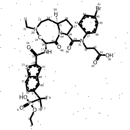 CCOP(=O)(O)C(F)(F)c1ccc2sc(C(=O)N[C@H]3CN(CC)CC[C@H]4CC[C@@H](C(=O)N(CCC(=O)O)c5ccc(Br)cc5)N4C3=O)cc2c1